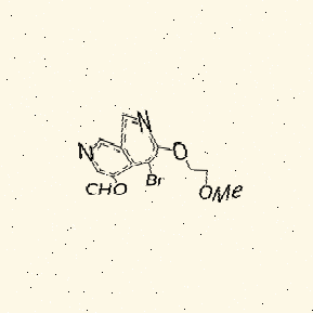 COCCOc1ncc2cncc(C=O)c2c1Br